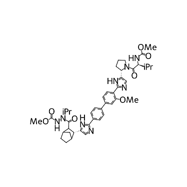 COC(=O)N[C@H](C(=O)N1CCC[C@H]1c1cnc(-c2ccc(-c3ccc(-c4ncc([C@@H]5C6CCC(C6)C5C(=O)N(NC(=O)OC)C(C)C)[nH]4)cc3)cc2OC)[nH]1)C(C)C